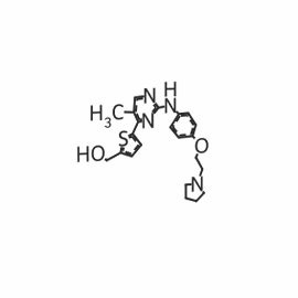 Cc1cnc(Nc2ccc(OCCN3CCCC3)cc2)nc1-c1ccc(CO)s1